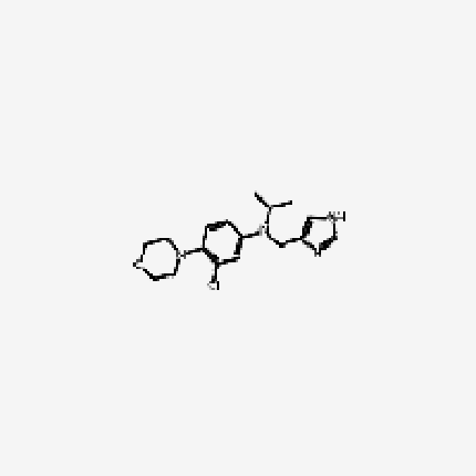 CC(C)N(Cc1c[nH]cn1)c1ccc(N2CCOCC2)c(Cl)c1